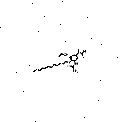 CCCCCCCCCCCCOc1ccc(NC(=N)N)cc1NC(=N)N.CCO